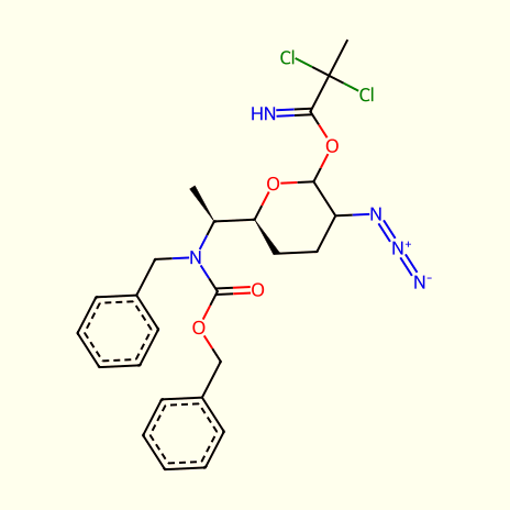 C[C@@H]([C@@H]1CCC(N=[N+]=[N-])C(OC(=N)C(C)(Cl)Cl)O1)N(Cc1ccccc1)C(=O)OCc1ccccc1